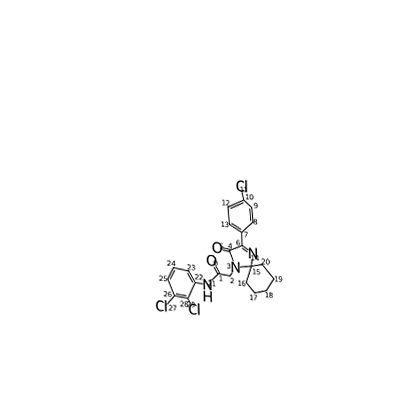 O=C(CN1C(=O)C(c2ccc(Cl)cc2)=NC12CCCCC2)Nc1cccc(Cl)c1Cl